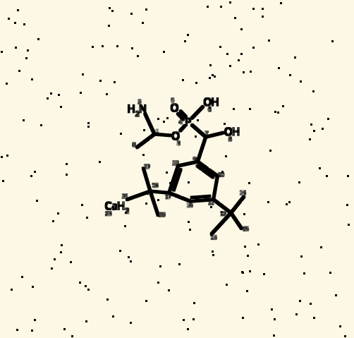 CC(N)OP(=O)(O)C(O)c1cc(C(C)(C)C)cc(C(C)(C)C)c1.[CaH2]